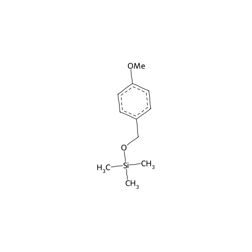 COc1ccc(CO[Si](C)(C)C)cc1